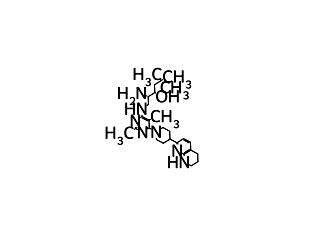 Cc1nc(NC[C@H](N)C(O)CC(C)(C)C)c(C)c(N2CCC(c3ccc4c(n3)NCCC4)CC2)n1